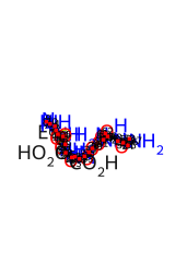 CCC(CC(C)Cc1nnn[nH]1)C(=O)NS(=O)(=O)CCCC(=O)NC(CCC(=O)NC(CCC(=O)NCCOCCOCC(=O)NC(CCCCNC(=O)c1ccc(N)cc1)C(N)=O)C(=O)O)C(=O)O